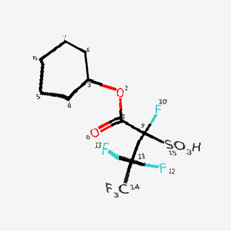 O=C(OC1CCCCC1)C(F)(C(F)(F)C(F)(F)F)S(=O)(=O)O